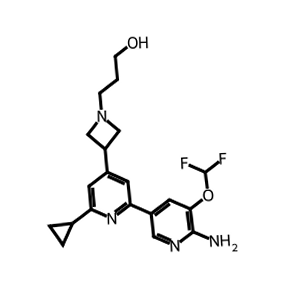 Nc1ncc(-c2cc(C3CN(CCCO)C3)cc(C3CC3)n2)cc1OC(F)F